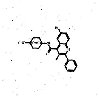 Cc1c(-c2ccccc2)nc2ccc(Br)cc2c1C(=O)NC12CCC(C=O)(CC1)CC2